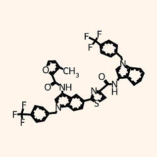 Cc1ccoc1C(=O)Nc1cn(Cc2ccc(C(F)(F)F)cc2)c2ccc(-c3nc(C(=O)Nc4cn(Cc5ccc(C(F)(F)F)cc5)c5ccccc45)cs3)cc12